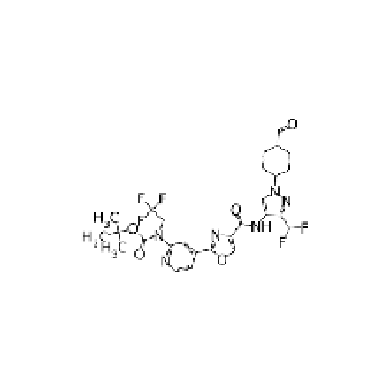 CC(C)(C)OC(=O)N(CC(F)(F)F)c1cc(-c2nc(C(=O)Nc3cn(C4CCC(C=O)CC4)nc3C(F)F)co2)ccn1